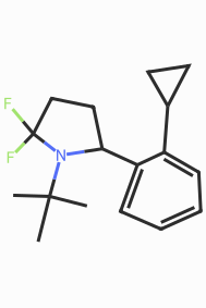 CC(C)(C)N1C(c2ccccc2C2CC2)CCC1(F)F